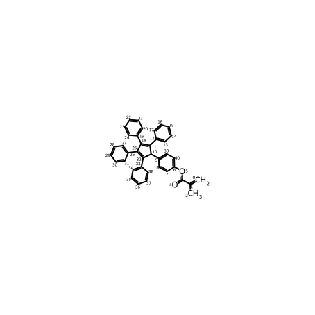 C=C(C)C(=O)Oc1ccc(C2C(c3ccccc3)=C(c3ccccc3)C(c3ccccc3)=C2c2ccccc2)cc1